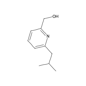 CC(C)Cc1cccc(CO)n1